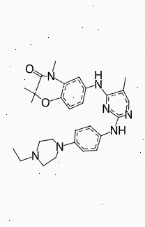 CCN1CCN(c2ccc(Nc3ncc(C)c(Nc4ccc5c(c4)N(C)C(=O)C(C)(C)O5)n3)cc2)CC1